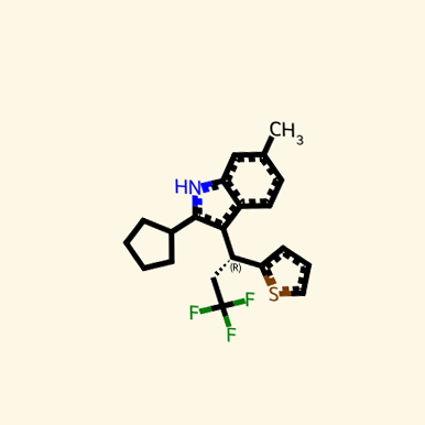 Cc1ccc2c([C@@H](CC(F)(F)F)c3cccs3)c(C3CCCC3)[nH]c2c1